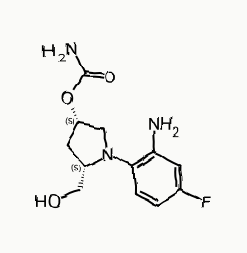 NC(=O)O[C@H]1C[C@@H](CO)N(c2ccc(F)cc2N)C1